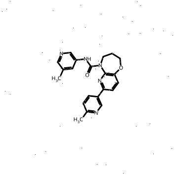 Cc1cncc(NC(=O)N2CCCOc3ccc(-c4ccc(C)nc4)nc32)c1